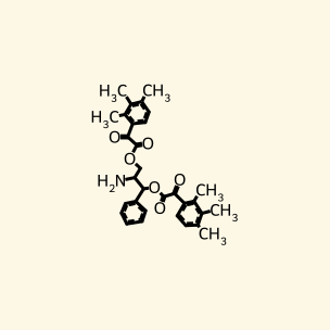 Cc1ccc(C(=O)C(=O)OCC(N)C(OC(=O)C(=O)c2ccc(C)c(C)c2C)c2ccccc2)c(C)c1C